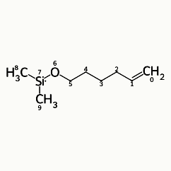 C=CCCCCO[Si](C)C